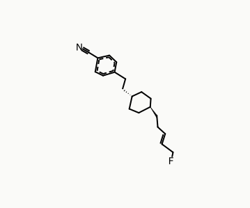 N#Cc1ccc(CC[C@H]2CC[C@H](CCC=CCF)CC2)cc1